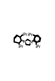 CC(C)c1cccc(C(C)C)c1N1CCN([C@@H]2C(C(C)C)C=CCC2C(C)C)C1